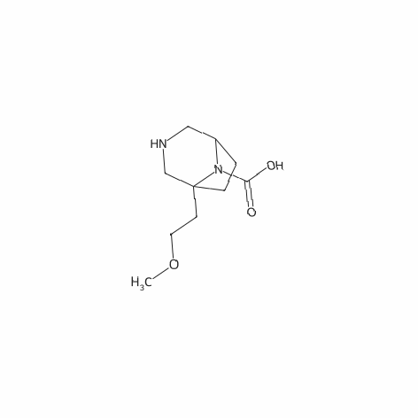 COCCC12CCC(CNC1)N2C(=O)O